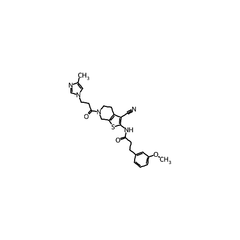 COc1cccc(CCC(=O)Nc2sc3c(c2C#N)CCN(C(=O)CCn2cnc(C)c2)C3)c1